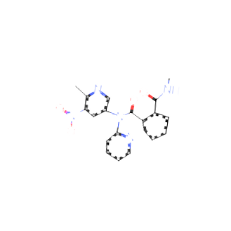 CNC(=O)c1ccccc1C(=O)N(c1cnc(C)c([N+](=O)[O-])c1)c1ccccn1